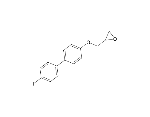 Ic1ccc(-c2ccc(OCC3CO3)cc2)cc1